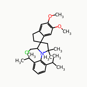 COc1cc2c(cc1OC)C1(CC2)CC(C)(C)N(c2c(C(C)C)cccc2C(C)C)C1CCl